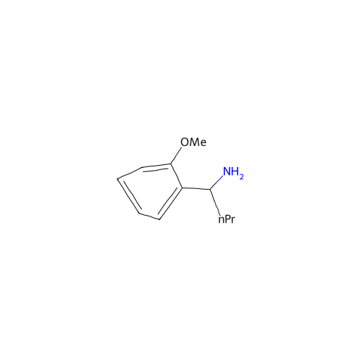 C[CH]CC(N)c1ccccc1OC